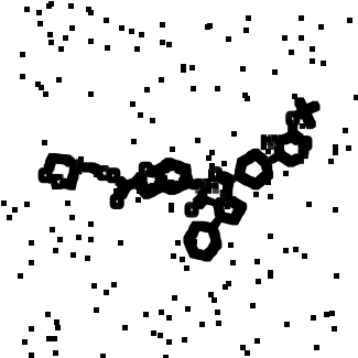 CC(C)(C)OC(=O)NC(CF)[C@H]1CC[C@H](C(=O)N2CC[C@@H](C3CCCCC3)[C@H]2C(=O)Nc2ccc3oc(C(=O)OCCN4CCOCC4)cc3c2)CC1